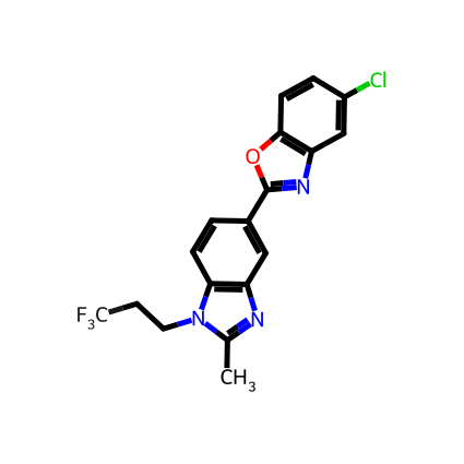 Cc1nc2cc(-c3nc4cc(Cl)ccc4o3)ccc2n1CCC(F)(F)F